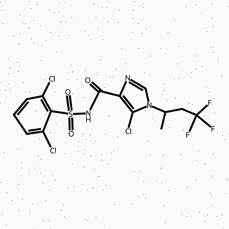 CC(CC(F)(F)F)n1cnc(C(=O)NS(=O)(=O)c2c(Cl)cccc2Cl)c1Cl